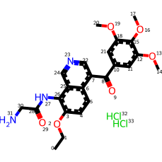 CCOc1ccc2c(C(=O)c3cc(OC)c(OC)c(OC)c3)cncc2c1NC(=O)CN.Cl.Cl